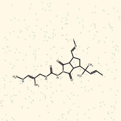 CC(C)(/C=C/I)C1CC(C=NI)C2C(=O)N(PC(=O)NC/C(N)=C/NN)C(=O)C21